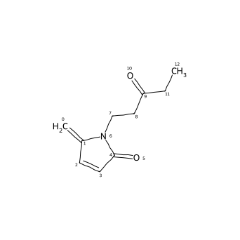 C=C1C=CC(=O)N1CCC(=O)CC